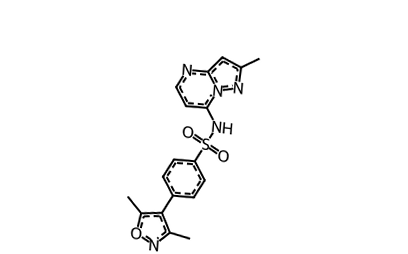 Cc1cc2nccc(NS(=O)(=O)c3ccc(-c4c(C)noc4C)cc3)n2n1